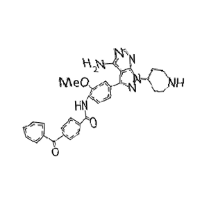 COc1cc(-c2nn(C3CCNCC3)c3ncnc(N)c23)ccc1NC(=O)c1ccc(C(=O)c2ccccc2)cc1